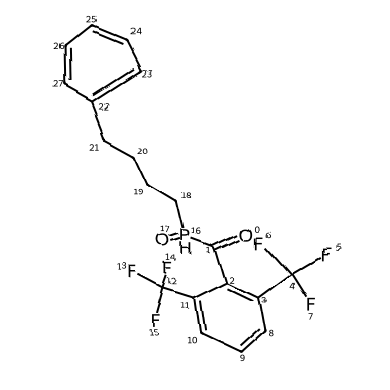 O=C(c1c(C(F)(F)F)cccc1C(F)(F)F)[PH](=O)CCCCc1ccccc1